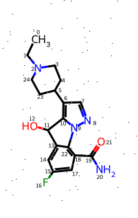 CCN1CCC(c2cnn3c2C(O)c2cc(F)cc(C(N)=O)c2-3)CC1